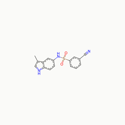 Cc1c[nH]c2ccc(NS(=O)(=O)c3cccc(C#N)c3)cc12